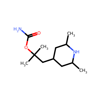 CC1CC(CC(C)(C)OC(N)=O)CC(C)N1